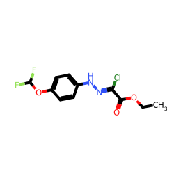 CCOC(=O)C(Cl)=NNc1ccc(OC(F)F)cc1